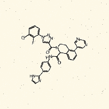 O=C(Nc1ccc(-c2ncc[nH]2)cc1)C1c2cccc(-c3cncnc3)c2CCN1C(=O)c1cn(-c2cccc(Cl)c2F)nn1